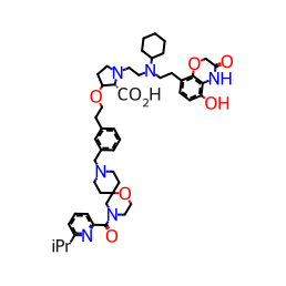 CC(C)c1cccc(C(=O)N2CCOC3(CCN(Cc4cccc(CCOC5CCN(CCN(CCc6ccc(O)c7c6OCC(=O)N7)C6CCCCC6)[C@@H]5C(=O)O)c4)CC3)C2)n1